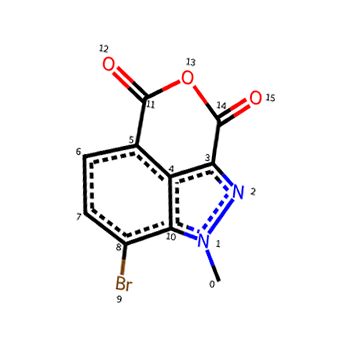 Cn1nc2c3c(ccc(Br)c31)C(=O)OC2=O